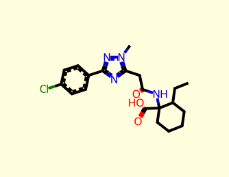 CCC1CCCCC1(NC(=O)Cc1nc(-c2ccc(Cl)cc2)nn1C)C(=O)O